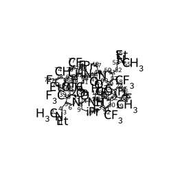 CCN(C)CCc1cn(C(CC(C)C)C(=O)N[C@@H](CC(=O)O)c2c(F)c(-c3c(C)ccc(F)c3C)cc(C(F)(F)F)c2F)c(=O)cc1C(F)(F)F.CCOC(=O)C[C@H](NC(=O)C(CC(C)C)n1cc(CCN(C)CC)c(C(F)(F)F)cc1=O)c1c(F)c(-c2c(C)ccc(F)c2C)cc(C(F)(F)F)c1F